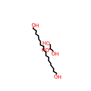 OCC(O)CO.OCCCCCCCCCCCCCCCCCCO